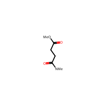 CNC(=O)[CH]CC(=O)OC